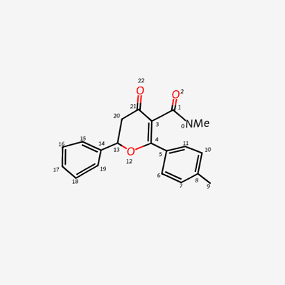 CNC(=O)C1=C(c2ccc(C)cc2)OC(c2ccccc2)CC1=O